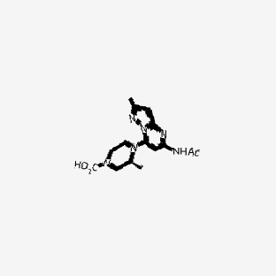 CC(=O)Nc1cc(N2CCN(C(=O)O)C[C@@H]2C)n2nc(C)cc2n1